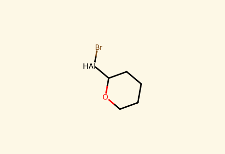 [Br][AlH][CH]1CCCCO1